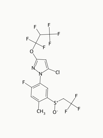 Cc1cc(F)c(-n2nc(OC(F)(F)C(F)C(F)(F)F)cc2Cl)cc1[S+]([O-])CC(F)(F)F